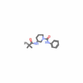 CC(C)C(C)(C)C(=O)NC1CCCN(C(=O)Nc2ccccc2)C1